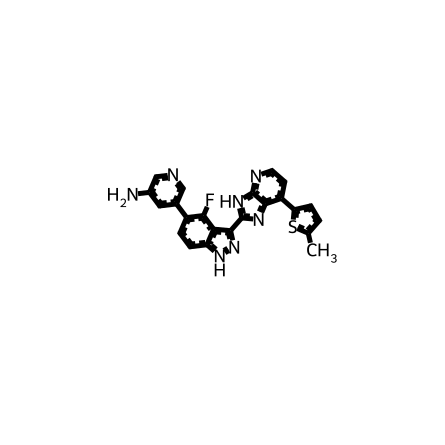 Cc1ccc(-c2ccnc3[nH]c(-c4n[nH]c5ccc(-c6cncc(N)c6)c(F)c45)nc23)s1